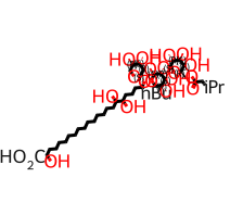 CCCCC(CCCC(O)C(O)CCCCCCCCCCCCCCC(O)C(=O)O)O[C@@H]1OC[C@@H](O)[C@H](O)[C@H]1O[C@@H]1OC[C@@H](O)[C@H](O)[C@H]1O[C@@H]1O[C@H](COC(=O)CC(C)C)[C@@H](O)[C@H](O)[C@H]1O